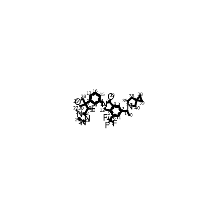 CC(c1cc2c(c(C(F)(F)F)c1)CN(c1cccc(C3(C(F)c4nncn4C)COC3)c1)C2=O)N1CCC2(CC2)C1